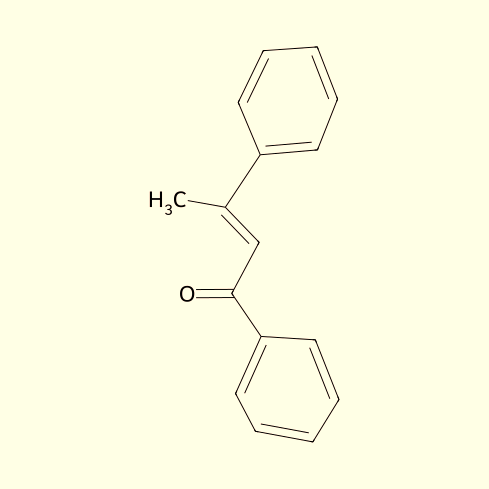 C/C(=C\C(=O)c1ccccc1)c1ccccc1